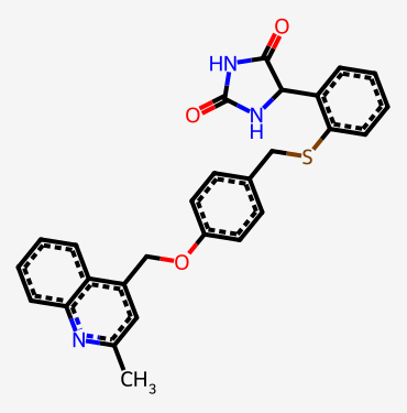 Cc1cc(COc2ccc(CSc3ccccc3C3NC(=O)NC3=O)cc2)c2ccccc2n1